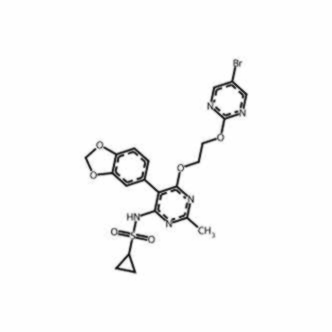 Cc1nc(NS(=O)(=O)C2CC2)c(-c2ccc3c(c2)OCO3)c(OCCOc2ncc(Br)cn2)n1